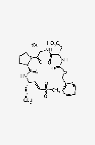 CC(C)(C)[C@H](NC(=O)[C@H](CC(=O)O)NC(=O)OCc1ccccc1)C(=O)N1CCC[C@@H]1C(=O)N[C@H](/C=C/S(C)(=O)=O)CCC(=O)O